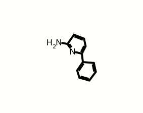 Nc1[c]ccc(-c2ccccc2)n1